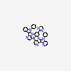 c1ccc(-n2c3ccccc3c3c4nccc5c4n(c32)-c2cc(-c3ncccn3)cc3c2B5c2ccnc4c5c6ncccc6n(-c6ccccc6)c5n-3c24)cc1